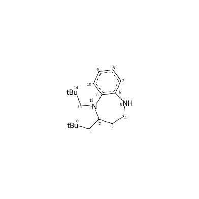 CC(C)(C)CC1CCNc2ccccc2N1CC(C)(C)C